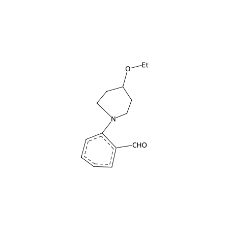 CCOC1CCN(c2ccccc2C=O)CC1